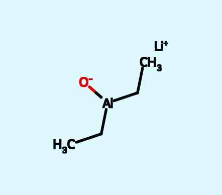 C[CH2][Al]([O-])[CH2]C.[Li+]